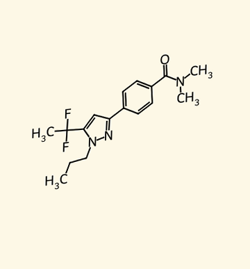 CCCn1nc(-c2ccc(C(=O)N(C)C)cc2)cc1C(C)(F)F